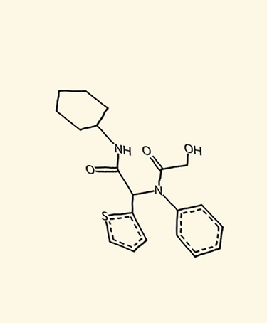 O=C(NC1CCCCC1)C(c1cccs1)N(C(=O)CO)c1ccccc1